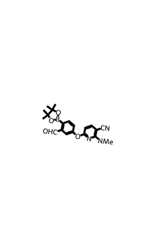 CNc1nc(Oc2ccc(B3OC(C)(C)C(C)(C)O3)c(C=O)c2)ccc1C#N